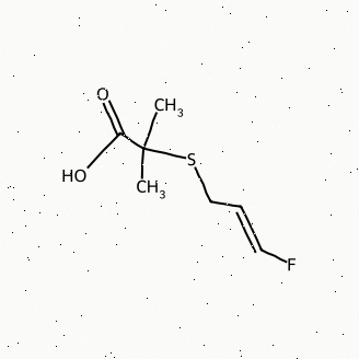 CC(C)(SCC=CF)C(=O)O